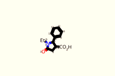 CCN1C(=O)CC(C(=O)O)C1c1ccccc1